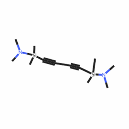 CN(C)[Si](C)(C)C#CC#C[Si](C)(C)N(C)C